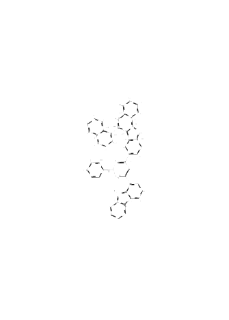 C1=C(c2cccc3c2sc2ccccc23)NC(c2ccccc2)N=C1c1ccc2oc3c4ccccc4nc(-c4cccc5ccccc45)c3c2c1